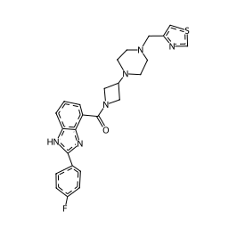 O=C(c1cccc2[nH]c(-c3ccc(F)cc3)nc12)N1CC(N2CCN(Cc3cscn3)CC2)C1